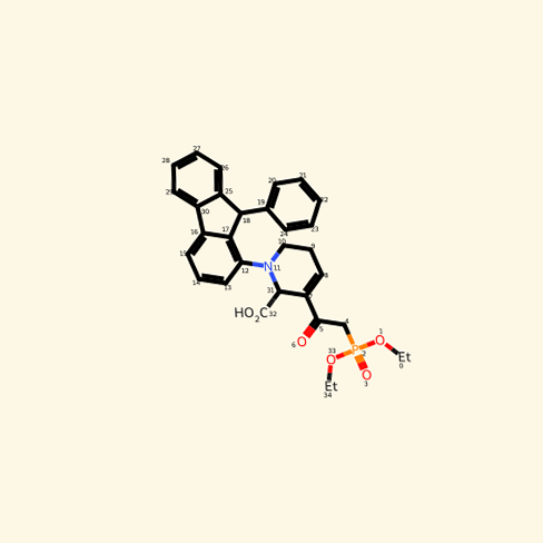 CCOP(=O)(CC(=O)C1=CCCN(c2cccc3c2C(c2ccccc2)c2ccccc2-3)C1C(=O)O)OCC